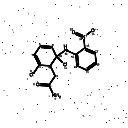 NC(=O)CC1C(Cl)=CC=CC1(Cl)Nc1ccccc1[N+](=O)[O-]